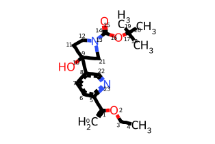 C=C(OCC)c1ccc(C2(O)CCN(C(=O)OC(C)(C)C)C2)cn1